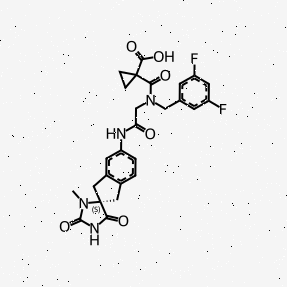 CN1C(=O)NC(=O)[C@@]12Cc1ccc(NC(=O)CN(Cc3cc(F)cc(F)c3)C(=O)C3(C(=O)O)CC3)cc1C2